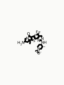 CCC12CC(N)CN1C(=O)c1cc(-c3nc(N[C@H]4CCN([S+](C)[O-])C[C@H]4C)ncc3C(F)(F)F)sc12